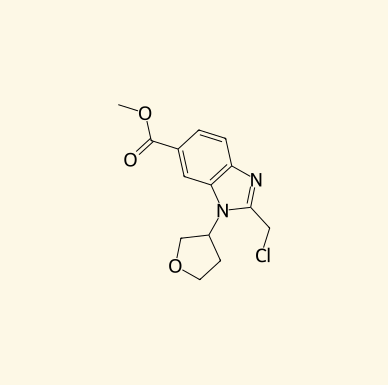 COC(=O)c1ccc2nc(CCl)n(C3CCOC3)c2c1